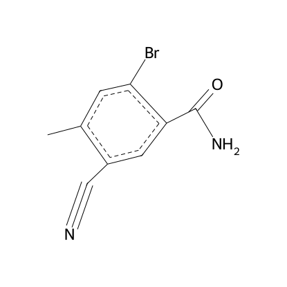 Cc1cc(Br)c(C(N)=O)cc1C#N